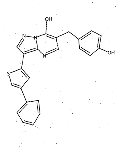 Oc1ccc(Cc2cnc3c(-c4cc(-c5ccccc5)cs4)cnn3c2O)cc1